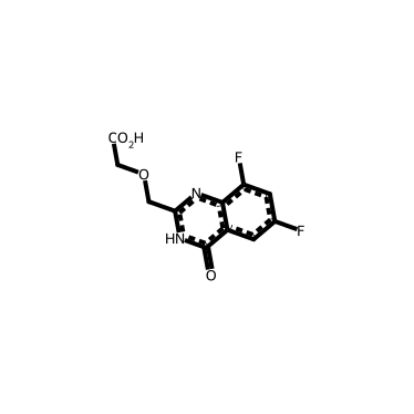 O=C(O)COCc1nc2c(F)cc(F)cc2c(=O)[nH]1